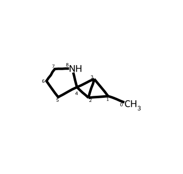 CC1C2C1C21CCCN1